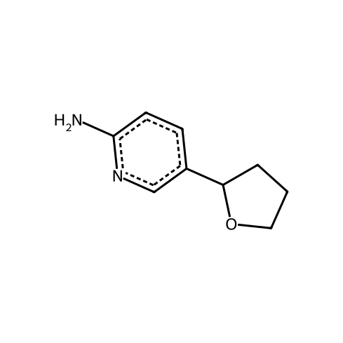 Nc1ccc(C2CCCO2)cn1